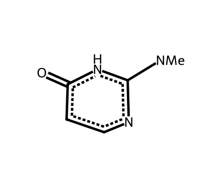 CNc1nccc(=O)[nH]1